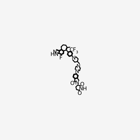 O=C1CC[C@H](N2Cc3cc(N4CCN(CC5CCN(c6ccc(C7=C(CC(F)(F)F)CCCc8c7cc(F)c7[nH]ncc87)cc6)CC5)CC4)ccc3C2=O)C(=O)N1